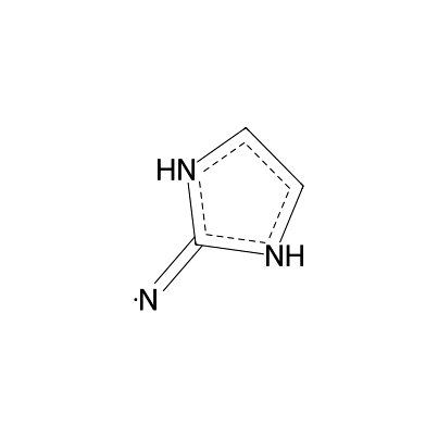 [N]=c1[nH]cc[nH]1